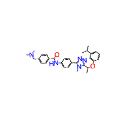 CC(C)c1cccc(OC(C)c2nnc(-c3ccc(NC(=O)c4ccc(CN(C)C)cc4)cc3)n2C)c1